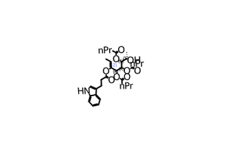 C/C=C(\OC(=O)CCc1c[nH]c2ccccc12)[C@H](OC(=O)CCC)[C@H](OC(=O)CCC)[C@@H](OC(=O)CCC)[C@H](C)O